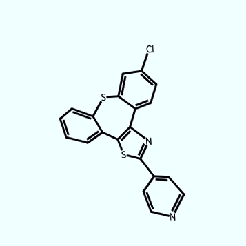 Clc1ccc2c(c1)Sc1ccccc1-c1sc(-c3ccncc3)nc1-2